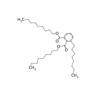 CCCCCCCCCOC(=O)c1cccc(CCCCCCCC)c1C(=O)OCCCCCCCCC